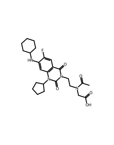 CC(=O)N(CCn1c(=O)c2cc(F)c(NC3CCCCC3)cc2n(C2CCCC2)c1=O)CC(=O)O